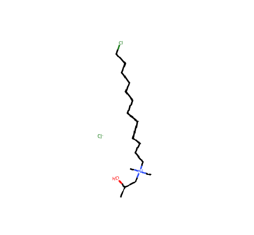 CC(O)C[N+](C)(C)CCCCCCCCCCCCCl.[Cl-]